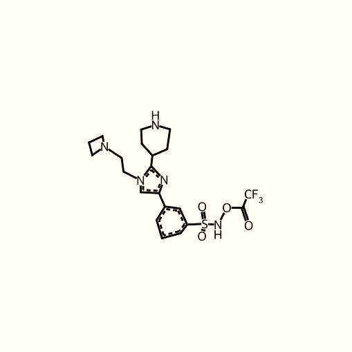 O=C(ONS(=O)(=O)c1cccc(-c2cn(CCN3CCC3)c(C3CCNCC3)n2)c1)C(F)(F)F